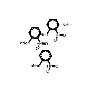 CCCCCCCCCc1ccccc1[PH](=O)[O-].CCCCCCCCCc1ccccc1[PH](=O)[O-].CCCCCCCCCc1ccccc1[PH](=O)[O-].[Nd+3]